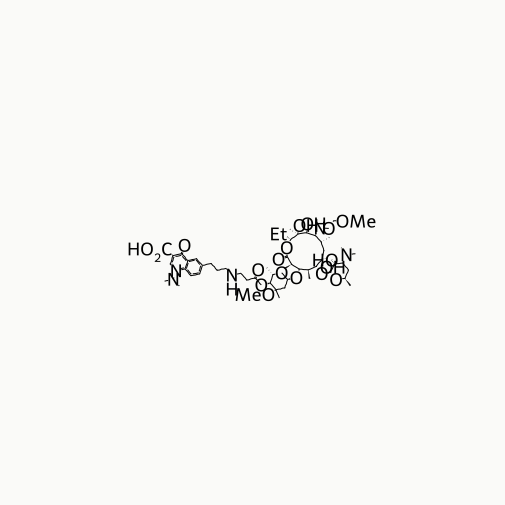 CC[C@H]1OC(=O)[C@H](C)[C@@H](O[C@H]2C[C@@](C)(OC)[C@@H](OC(=O)CCNCCCc3ccc4c(c3)c(=O)c(C(=O)O)cn4N(C)C)[C@H](C)O2)[C@H](C)[C@@H](O[C@@H]2O[C@H](C)C[C@H](N(C)C)[C@H]2O)[C@](C)(O)C[C@@H](C)/C(=N\OCOC)[C@@H](O)[C@]1(C)O